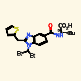 CCC(C)[C@H](NC(=O)c1ccc2c(c1)nc(Cc1cccs1)n2C(CC)CC)C(=O)O